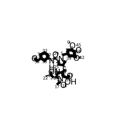 COc1cc(CN2C[C@@H](SC3=C(C(=O)O)N(C(C)=O)[C@@H](C[C@@H](C)O)[C@H]3C)C[C@H]2C(=O)Nc2cccc(C=O)c2)cc(OC)c1OC